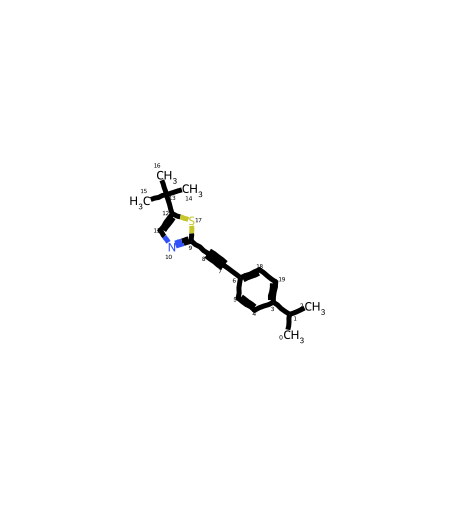 CC(C)c1ccc(C#Cc2ncc(C(C)(C)C)s2)cc1